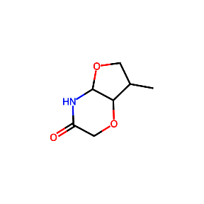 CC1COC2NC(=O)COC12